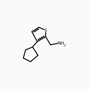 NCc1sccc1C1CCCC1